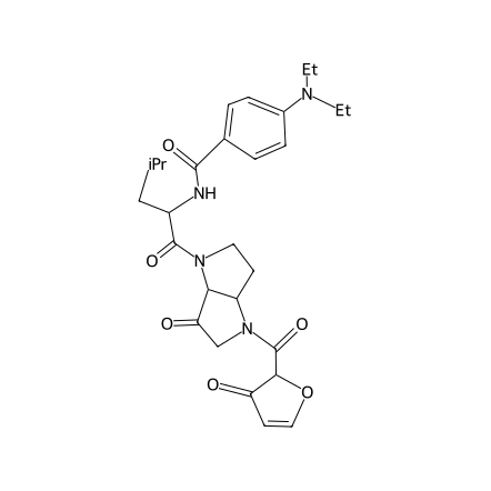 CCN(CC)c1ccc(C(=O)NC(CC(C)C)C(=O)N2CCC3C2C(=O)CN3C(=O)C2OC=CC2=O)cc1